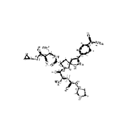 CCC[C@H](NC(=O)[C@@H]1C[C@]2(CC(c3ccc(C(=O)NC)cc3)=NO2)CN1C(=O)[C@@H](NC(=O)O[C@H]1CCOC1)C(C)(C)C)C(=O)C(=O)NC1CC1